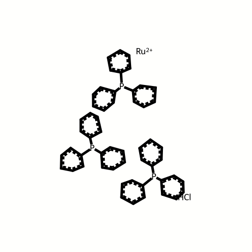 Cl.[Ru+2].c1ccc(P(c2ccccc2)c2ccccc2)cc1.c1ccc(P(c2ccccc2)c2ccccc2)cc1.c1ccc(P(c2ccccc2)c2ccccc2)cc1